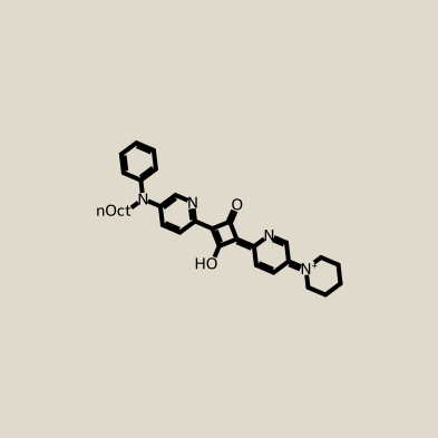 CCCCCCCCN(c1ccccc1)c1ccc(C2=C(O)/C(=C3\C=CC(=[N+]4CCCCC4)C=N3)C2=O)nc1